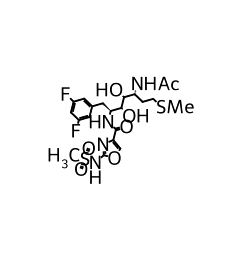 CSCC[C@@H](NC(C)=O)[C@@H](O)[C@H](O)[C@H](Cc1cc(F)cc(F)c1)NC(=O)c1coc(NS(C)(=O)=O)n1